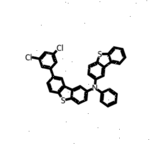 Clc1cc(Cl)cc(-c2ccc3sc4ccc(N(c5ccccc5)c5ccc6sc7ccccc7c6c5)cc4c3c2)c1